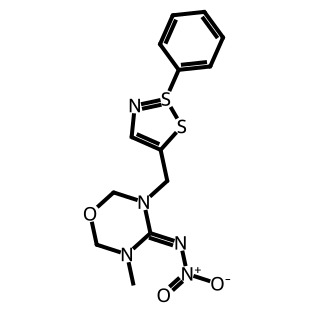 CN1COCN(CC2=CN=S(c3ccccc3)S2)C1=N[N+](=O)[O-]